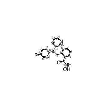 O=C(NO)c1ccccc1CN(c1ccc(F)cn1)c1cnccn1